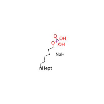 CCCCCCCCCCCCCOP(=O)(O)O.[NaH]